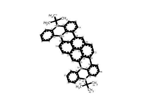 CC(C)(C)N1c2ccccc2B2c3c(cccc31)-c1cc3ccc4c5c(cc6ccc2c1c6c35)B1c2ccccc2N(C(C)(C)C)c2cccc-4c21